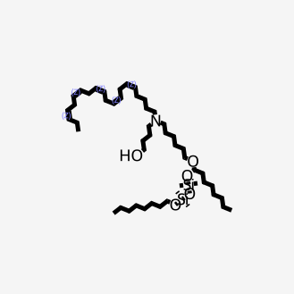 CC/C=C\C/C=C\C/C=C\C/C=C\C/C=C\CCCCN(CCCCO)CCCCCCOC(CCCCCCC)O[Si](C)(C)O[Si](C)(C)OCCCCCCCC